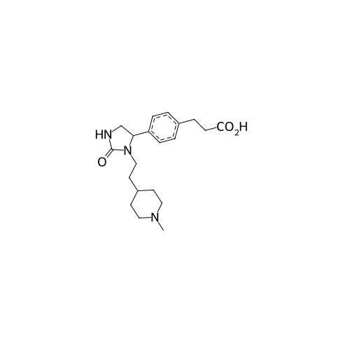 CN1CCC(CCN2C(=O)NCC2c2ccc(CCC(=O)O)cc2)CC1